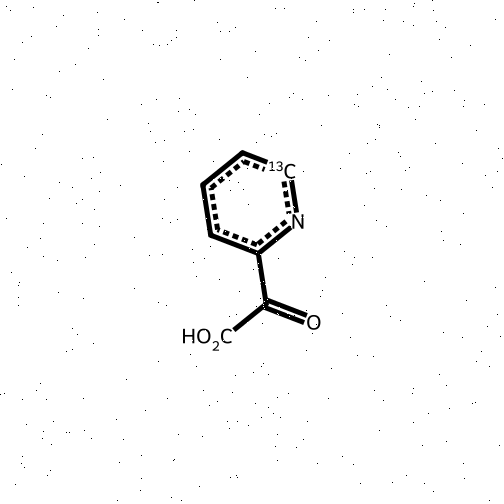 O=C(O)C(=O)c1ccc[13cH]n1